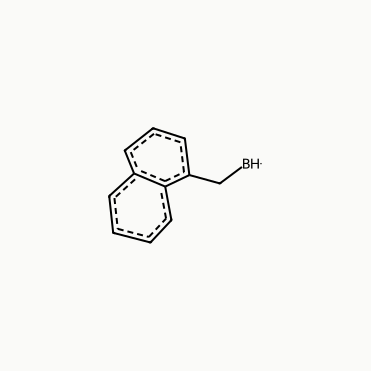 [BH]Cc1cccc2ccccc12